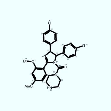 CCOc1cc(OC)ccc1C1=NC(c2ccc(Cl)cc2)C(c2ccc(Cl)cc2)N1C(=O)N1CCNCC1